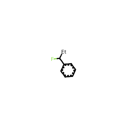 CC[C](F)c1ccccc1